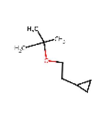 [CH2]C(C)(C)OCCC1CC1